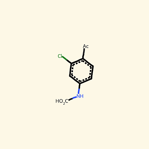 CC(=O)c1ccc(NC(=O)O)cc1Cl